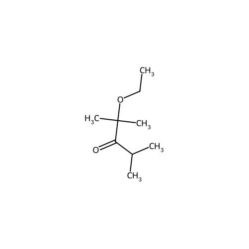 CCOC(C)(C)C(=O)C(C)C